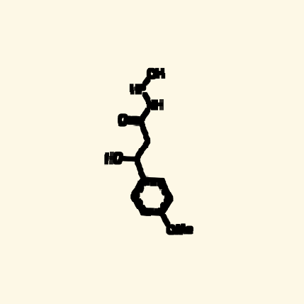 COc1ccc(C(O)CC(=O)NPO)cc1